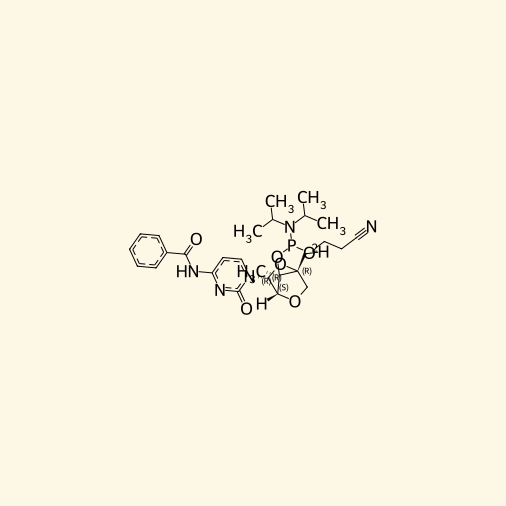 [2H]C[C@]12CO[C@H]([C@H](n3ccc(NC(=O)c4ccccc4)nc3=O)O1)[C@@]2(C)OP(OCCC#N)N(C(C)C)C(C)C